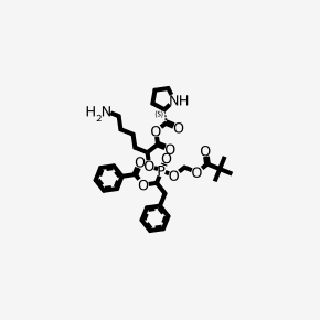 CC(C)(C)C(=O)OCOP(=O)(OC(CCCCN)C(=O)OC(=O)[C@@H]1CCCN1)C(Cc1ccccc1)OC(=O)c1ccccc1